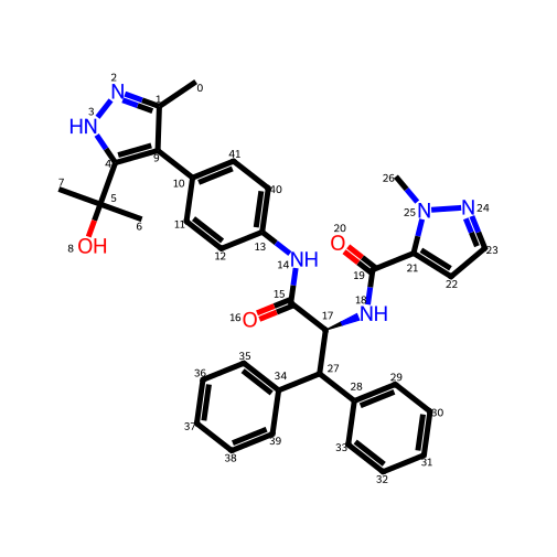 Cc1n[nH]c(C(C)(C)O)c1-c1ccc(NC(=O)[C@@H](NC(=O)c2ccnn2C)C(c2ccccc2)c2ccccc2)cc1